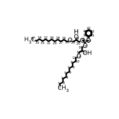 CCCCCCCCCCCCOCC(O)COP(OCC(O)COCCCCCCCCCCCC)Oc1ccccc1